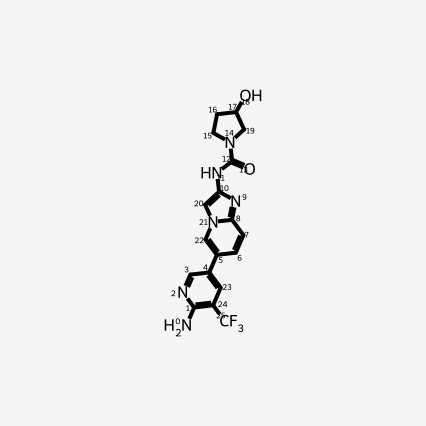 Nc1ncc(-c2ccc3nc(NC(=O)N4CCC(O)C4)cn3c2)cc1C(F)(F)F